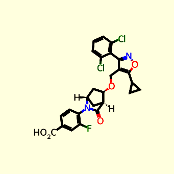 O=C(O)c1ccc(N2C(=O)[C@H]3C[C@H]2C[C@H]3OCc2c(-c3c(Cl)cccc3Cl)noc2C2CC2)c(F)c1